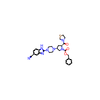 N#Cc1ccc2[nH]c(N3CCN([C@H]4C[C@@H](C(=O)N5CCSC5)N(C(=O)OCc5ccccc5)C4)CC3)nc2c1